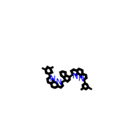 Cc1cc(C)cc(-c2ccc3ccc4ccc(-c5ccc(-c6ccc7ccc8ccc(-c9cc(C)cc(C)c9)nc8c7n6)c6ccccc56)nc4c3n2)c1